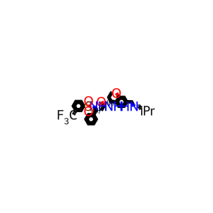 CC(C)CNCc1ccc2c(c1)OCC[C@H]2NC(=O)C[C@@H](NS(=O)(=O)c1cccc(C(F)(F)F)c1)c1ccccc1